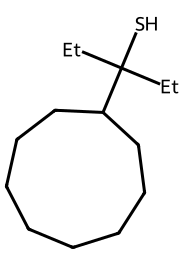 CCC(S)(CC)C1CCCCCCCC1